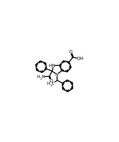 CC(c1ccccc1)N1c2ccc(C(=O)O)cc2NC1(C(N)=O)c1ccccc1